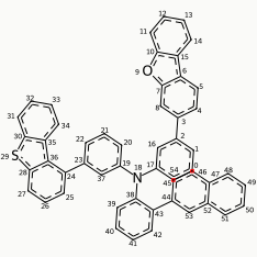 c1cc(-c2ccc3c(c2)oc2ccccc23)cc(N(c2cccc(-c3cccc4sc5ccccc5c34)c2)c2ccccc2-c2ccc3ccccc3c2)c1